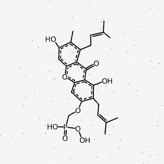 CC(C)=CCc1c(OCP(=O)(O)OO)cc2oc3cc(O)c(C)c(CC=C(C)C)c3c(=O)c2c1O